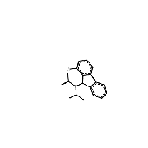 [Li][c]1cccc2c1C(P(C(C)C)C(C)C)c1ccccc1-2